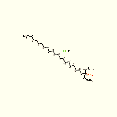 CCCCCCCCCCCCCCCCCCCCCC(P)(CC)CC.F